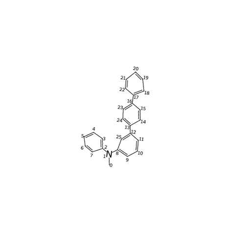 CN(c1ccccc1)c1cccc(-c2ccc(-c3ccccc3)cc2)c1